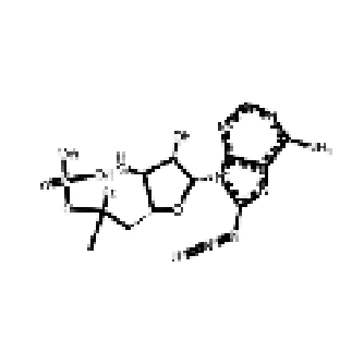 CCC(C)(C[C@H]1O[C@@H](n2c(N=[N+]=[N-])nc3c(N)ncnc32)[C@H](O)[C@@H]1O)OP(=O)(O)O